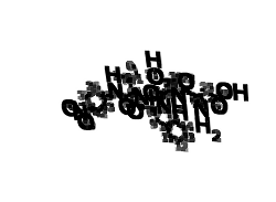 CC[C@H](C)[C@H](NC(=O)[C@H](Cc1ccccc1)NC(=O)[C@@H](NC(=O)[C@@H](N)CC(=O)O)[C@@H](C)O)C(=O)Nc1ccc([N+](=O)[O-])cc1